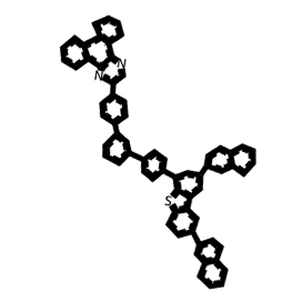 c1cc(-c2ccc(-c3cnc4c5ccccc5c5ccccc5c4n3)cc2)cc(-c2ccc(-c3cc(-c4ccc5ccccc5c4)cc4c3sc3ccc(-c5ccc6ccccc6c5)cc34)cc2)c1